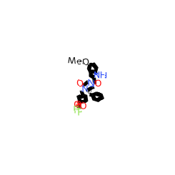 COc1ccc2[nH]c(C(=O)N3CC(=O)N(Cc4ccc5c(c4)OC(F)(F)O5)[C@@H](Cc4ccccc4)C3)cc2c1